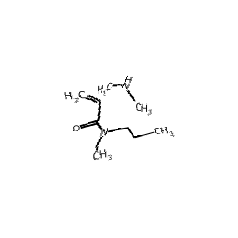 C=CC(=O)N(C)CCC.CNC